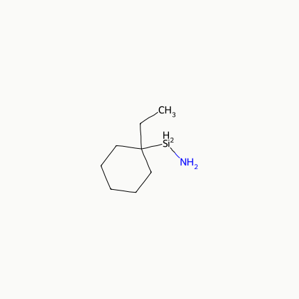 CCC1([SiH2]N)CCCCC1